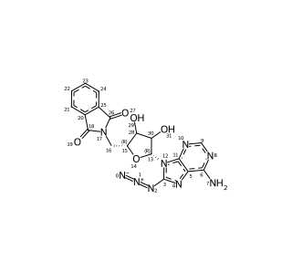 [N-]=[N+]=Nc1nc2c(N)ncnc2n1[C@@H]1O[C@H](CN2C(=O)c3ccccc3C2=O)C(O)C1O